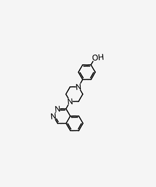 Oc1ccc(N2CCN(c3nncc4ccccc34)CC2)cc1